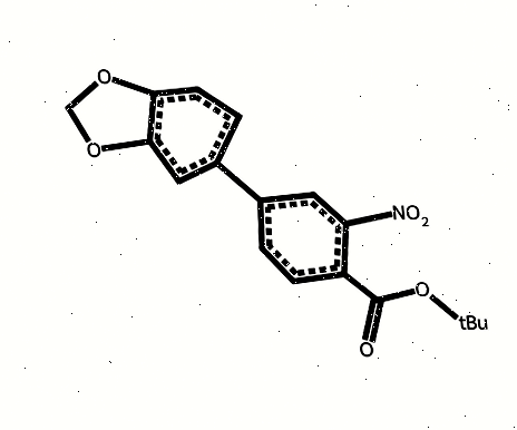 CC(C)(C)OC(=O)c1ccc(-c2ccc3c(c2)OCO3)cc1[N+](=O)[O-]